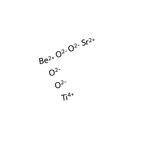 [Be+2].[O-2].[O-2].[O-2].[O-2].[Sr+2].[Ti+4]